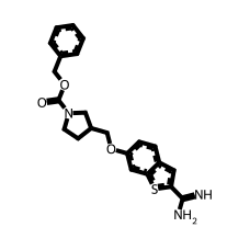 N=C(N)c1cc2ccc(OCC3CCN(C(=O)OCc4ccccc4)C3)cc2s1